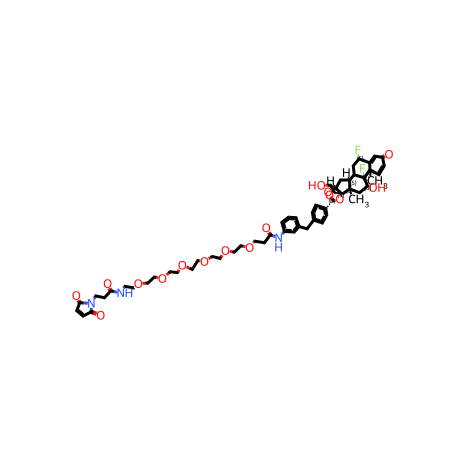 C[C@]12C=CC(=O)C=C1[C@@H](F)CC1[C@@H]3C[C@H]4O[C@@H](c5ccc(Cc6cccc(NC(=O)CCOCCOCCOCCOCCOCCOCCNC(=O)CCN7C(=O)C=CC7=O)c6)cc5)O[C@@]4(C(=O)CO)[C@@]3(C)C[C@H](O)[C@@]12F